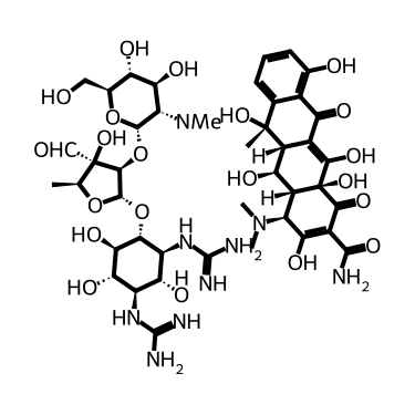 CN(C)[C@@H]1C(O)=C(C(N)=O)C(=O)[C@@]2(O)C(O)=C3C(=O)c4c(O)cccc4[C@@](C)(O)[C@H]3[C@H](O)[C@@H]12.CN[C@@H]1[C@H](O[C@H]2[C@H](O[C@H]3[C@H](O)[C@@H](O)[C@H](NC(=N)N)[C@@H](O)[C@@H]3NC(=N)N)O[C@@H](C)[C@]2(O)C=O)O[C@@H](CO)[C@H](O)[C@H]1O